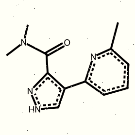 Cc1cccc(-c2c[nH]nc2C(=O)N(C)C)n1